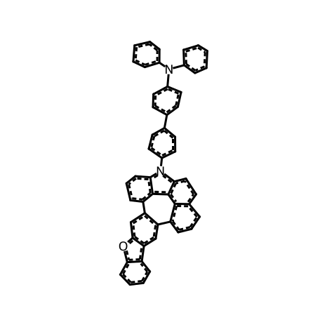 c1ccc(N(c2ccccc2)c2ccc(-c3ccc(-n4c5cccc6c5c5c7c(cccc7ccc54)-c4cc5c(cc4-6)oc4ccccc45)cc3)cc2)cc1